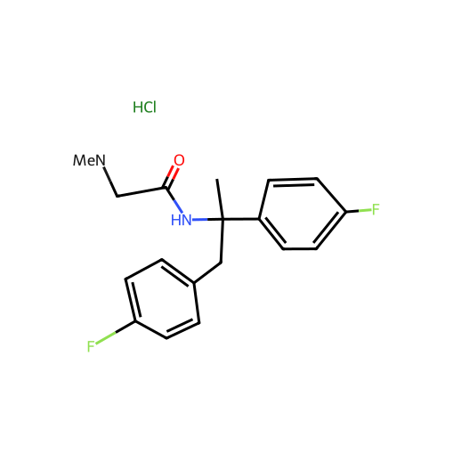 CNCC(=O)NC(C)(Cc1ccc(F)cc1)c1ccc(F)cc1.Cl